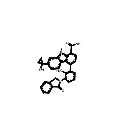 Cc1c(-c2ccc(C(N)=O)c3[nH]c4cc(C5(O)CC5)ccc4c23)cccc1N1Cc2ccccc2C1=O